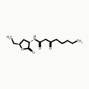 CCCCCC(=O)CC(=O)N[C@H]1C[C@H](CC)OC1=O